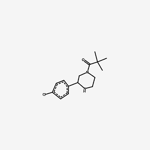 CC(C)(C)C(=O)N1CCNC(c2ccc(Cl)cc2)C1